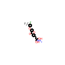 NC(CO)(CO)CCc1ccc2c(=O)c3cc(Oc4ccc(F)c(C(F)(F)F)c4)ccc3oc2c1